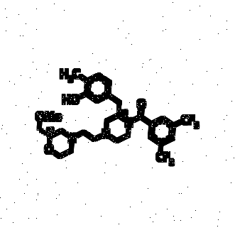 COC[C@@H]1CN(CCN2CCN(C(=O)c3cc(C(F)(F)F)cc(C(F)(F)F)c3)[C@H](Cc3ccc(C)c(O)c3)C2)CCO1